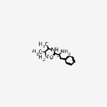 CC(NC(=O)[C@@H](N)Cc1ccccc1)[C@@H](C)N